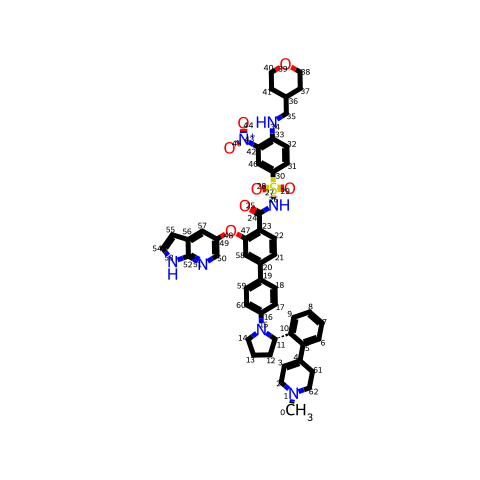 CN1CC=C(c2ccccc2[C@@H]2CCCN2c2ccc(-c3ccc(C(=O)NS(=O)(=O)c4ccc(NCC5CCOCC5)c([N+](=O)[O-])c4)c(Oc4cnc5[nH]ccc5c4)c3)cc2)CC1